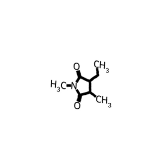 CCC1C(=O)N(C)C(=O)C1C